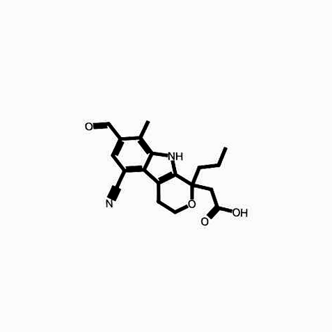 CCCC1(CC(=O)O)OCCc2c1[nH]c1c(C)c(C=O)cc(C#N)c21